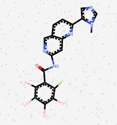 Bc1c(B)c(B)c(C(=O)Nc2cc3nc(-c4cncn4C)ccc3cn2)c(F)c1B